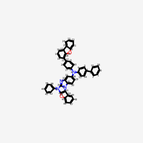 c1ccc(-c2ccc(N(c3ccc(-c4cccc5c4oc4ccccc45)cc3)c3ccc4c(c3)nc3n(-c5ccccc5)c5oc6ccccc6c5n43)cc2)cc1